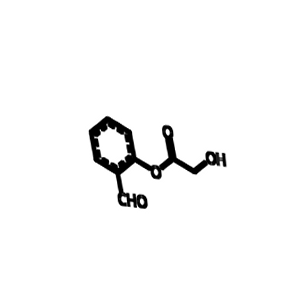 O=Cc1ccccc1OC(=O)CO